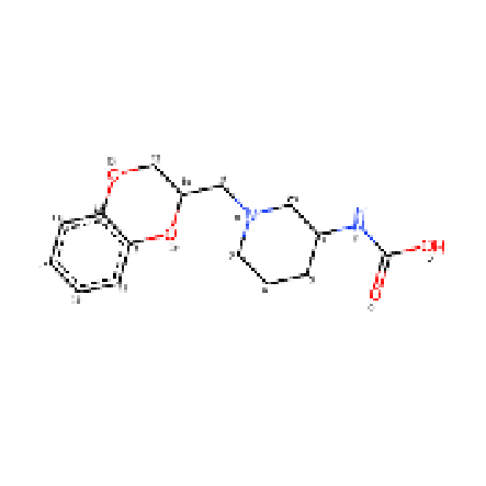 O=C(O)NC1CCCN(CC2COc3ccccc3O2)C1